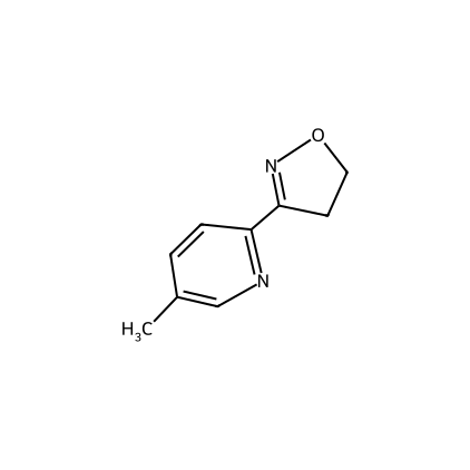 Cc1ccc(C2=NOCC2)nc1